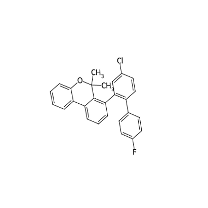 CC1(C)Oc2ccccc2-c2cccc(-c3cc(Cl)ccc3-c3ccc(F)cc3)c21